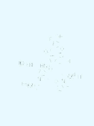 O=C(O)CN(CC(=O)O)c1ccc(NC(=O)c2ccc3c(c2)C(=O)OC32c3cc(F)c(O)cc3Oc3cc(O)c(F)cc32)cc1OCCOc1cccc(F)c1N(CC(=O)O)CC(=O)O.[K].[K].[K].[K].[K].[K]